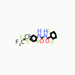 O=C(NC(=O)c1c(F)cccc1F)Nc1ccc(SC(F)(C(F)(F)F)C(F)(F)F)cc1F